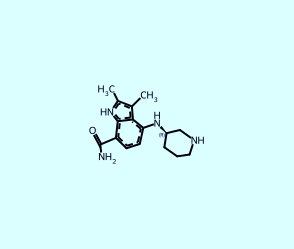 Cc1[nH]c2c(C(N)=O)ccc(N[C@@H]3CCCNC3)c2c1C